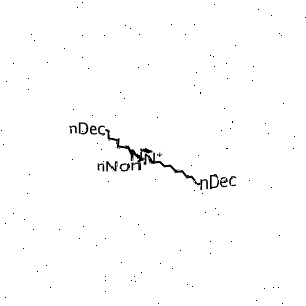 CCCCCCCCCCCCCCCCCCC[n+]1ccn(CCCCCCCCCCCCCCCC)c1CCCCCCCCC